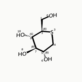 OC[C@H]1S[CH][C@H](O)[C@@H](O)[C@@H]1O